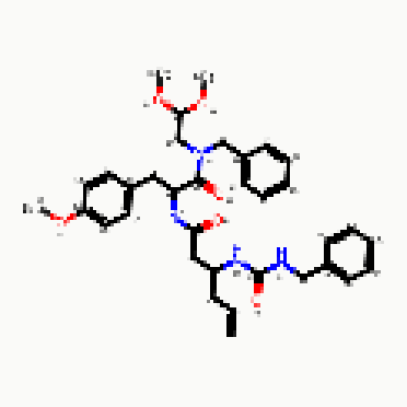 C=CCC(CC(=O)NC(Cc1ccc(OC(C)(C)C)cc1)C(=O)N(Cc1ccccc1)CC(OCC)OCC)NC(=O)NCc1ccccc1